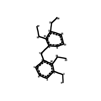 CCc1cccc([C]c2cccc(CC)c2CC)c1CC